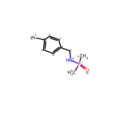 CC(C)c1ccc(CNP(C)(C)=O)cc1